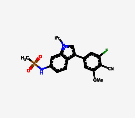 COc1cc(-c2cn(C(C)C)c3cc(NS(C)(=O)=O)ccc23)cc(F)c1C#N